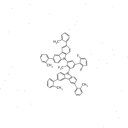 Cc1ccccc1-c1ccc2c(c1)c1cc(-c3ccccc3C)ccc1n2-c1cc(-c2c(F)cccc2F)cc(-n2c3ccc(-c4ccccc4C)cc3c3cc(-c4ccccc4C)ccc32)c1C(F)(F)F